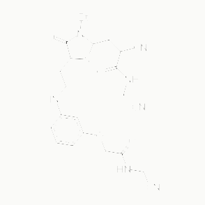 CCN1C(=O)C(CCNc2cccc(OCC(=O)NCC#N)c2)SC1CC(C#N)C(=O)NCC#N